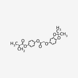 C=C(C)C(=O)Oc1ccc(OC(=O)COc2ccc3c(c2)OC(C)(C)O3)cc1